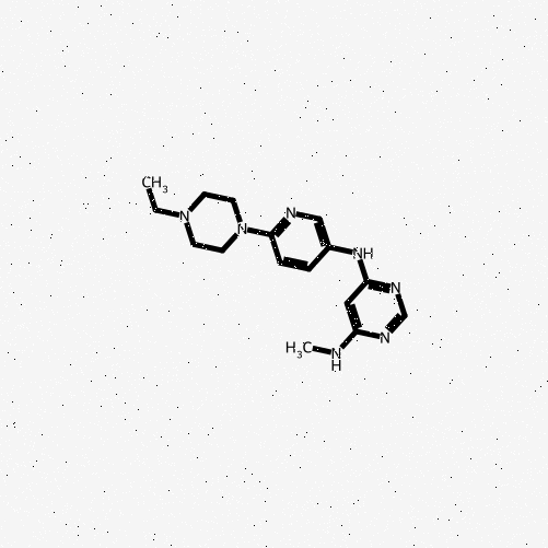 CCN1CCN(c2ccc(Nc3cc(NC)ncn3)cn2)CC1